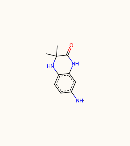 CC1(C)Nc2ccc([NH])cc2NC1=O